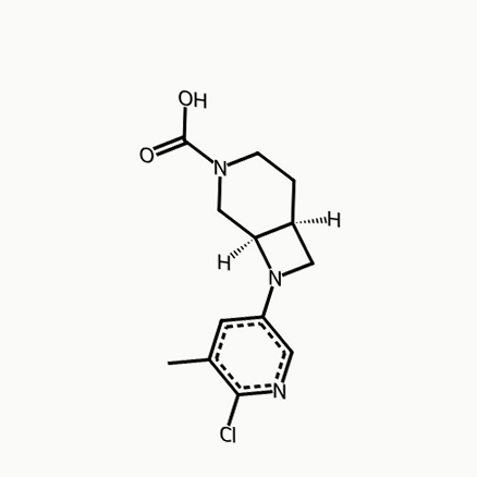 Cc1cc(N2C[C@@H]3CCN(C(=O)O)C[C@@H]32)cnc1Cl